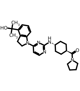 CC(C)(O)c1cccc2c1CCN2c1ccnc(N[C@H]2CC[C@H](C(=O)N3CCCC3)CC2)n1